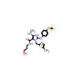 CNC1=C(C(=O)NCCCO)N(CC2NC=C(C)S2)C(Oc2ccc(OC(F)(F)F)cc2)N1